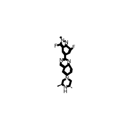 C[C@H]1CN(c2ccc3nc(-c4cc(F)c5nn(C)c(F)c5c4)ncc3c2)C[C@H](C)N1